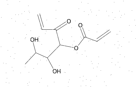 C=CC(=O)OC(C(=O)C=C)C(O)C(C)O